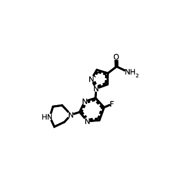 NC(=O)c1cnn(-c2nc(N3CCNCC3)ncc2F)c1